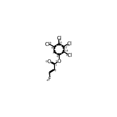 O=C(C=CF)Oc1cc(Cl)c(Cl)c(Cl)c1Cl